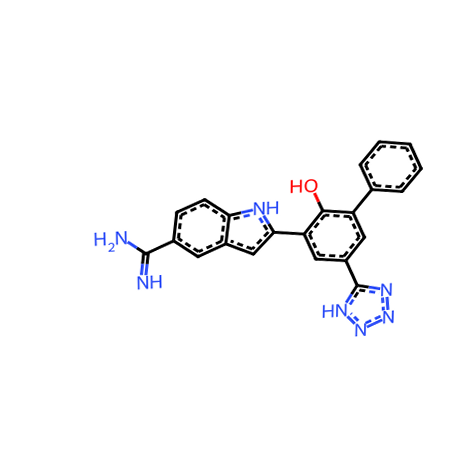 N=C(N)c1ccc2[nH]c(-c3cc(-c4nnn[nH]4)cc(-c4ccccc4)c3O)cc2c1